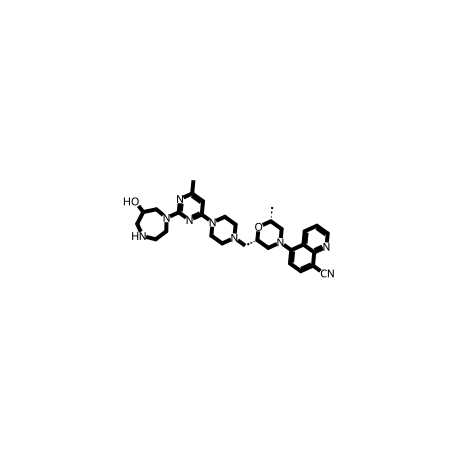 Cc1cc(N2CCN(C[C@H]3CN(c4ccc(C#N)c5ncccc45)C[C@@H](C)O3)CC2)nc(N2CCNCC(O)C2)n1